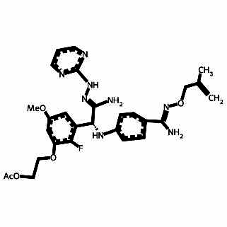 C=C(C)CON=C(N)c1ccc(N[C@@H](/C(N)=N/Nc2ncccn2)c2cc(OC)cc(OCCOC(C)=O)c2F)cc1